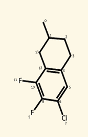 CC1CCc2cc(Cl)c(F)c(F)c2C1